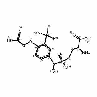 N[C@@H](CCP(=O)(O)C(O)c1ccc(OCC(=O)O)c(C(F)(F)F)c1)C(=O)O